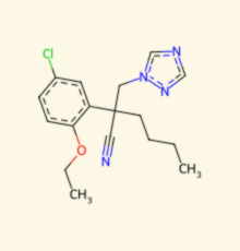 CCCCC(C#N)(Cn1cncn1)c1cc(Cl)ccc1OCC